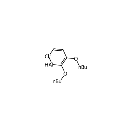 CCCCOC1=[C](OCCCC)[AlH][Cl+]C=C1